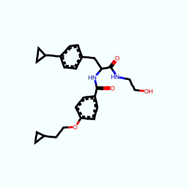 O=C(NC(Cc1ccc(C2CC2)cc1)C(=O)NCCO)c1ccc(OCCC2CC2)cc1